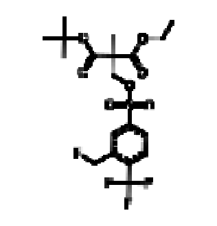 CCOC(=O)C(C)(COS(=O)(=O)c1ccc(C(F)(F)F)c(CF)c1)C(=O)OC(C)(C)C